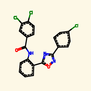 O=C(Nc1ccccc1-c1nc(-c2ccc(Cl)cc2)no1)c1ccc(Cl)c(Cl)c1